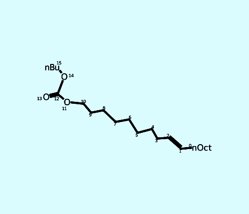 CCCCCCCCC=CCCCCCCCCOC(=O)OCCCC